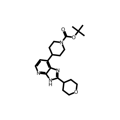 CC(C)(C)OC(=O)N1CCC(c2ccnc3[nH]c(C4CCOCC4)nc23)CC1